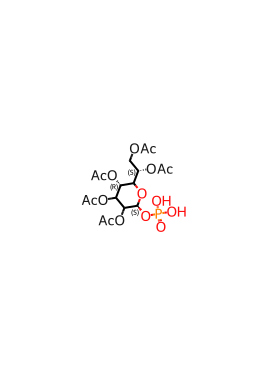 CC(=O)OC[C@H](OC(C)=O)C1O[C@@H](OP(=O)(O)O)C(OC(C)=O)C(OC(C)=O)[C@@H]1OC(C)=O